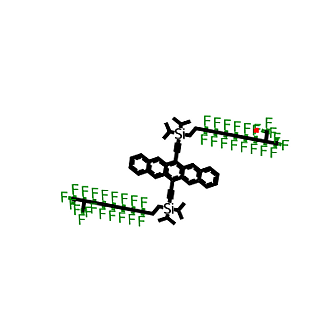 CC(C)[Si](C#Cc1c2cc3ccccc3cc2c(C#C[Si](CCC(F)(F)C(F)(F)C(F)(F)C(F)(F)C(F)(F)C(F)(F)C(F)(C(F)(F)F)C(F)(F)F)(C(C)C)C(C)C)c2cc3ccccc3cc12)(CCC(F)(F)C(F)(F)C(F)(F)C(F)(F)C(F)(F)C(F)(F)C(F)(C(F)(F)F)C(F)(F)F)C(C)C